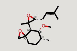 CO[C@@H]1[C@H](C)CC[C@]2(CO2)[C@H]1C1(C)O[C@@H]1CC=C(C)C